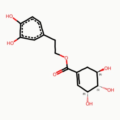 O=C(OCCc1ccc(O)c(O)c1)C1=C[C@@H](O)[C@@H](O)[C@H](O)C1